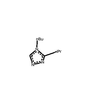 CCCCn1cnnc1C(C)C